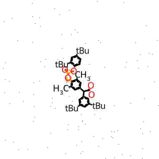 Cc1cc(C2C(=O)Oc3c2cc(C(C)(C)C)cc3C(C)(C)C)cc(C)c1O[PH](=O)Oc1ccc(C(C)(C)C)cc1C(C)(C)C